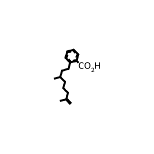 C=C(C)CCCC(C)CCc1ccccc1C(=O)O